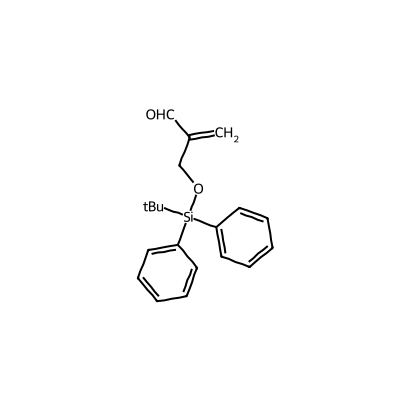 C=C(C=O)CO[Si](c1ccccc1)(c1ccccc1)C(C)(C)C